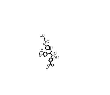 CCOC(=O)c1ccc2c(c1)NC(=O)/C2=C(\Nc1ccc(N(C)C(=O)CCN(C)C)cc1)c1ccc2c(c1)OCCO2